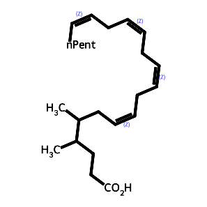 CCCCC/C=C\C/C=C\C/C=C\C/C=C\CC(C)C(C)CCC(=O)O